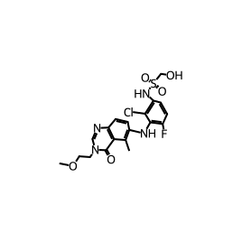 COCCn1cnc2ccc(Nc3c(F)ccc(NS(=O)(=O)CO)c3Cl)c(C)c2c1=O